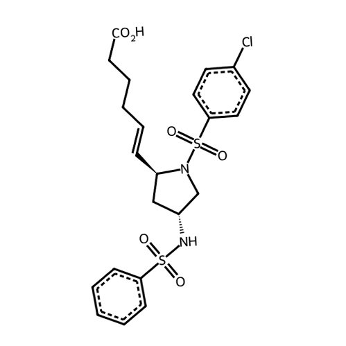 O=C(O)CCC/C=C/[C@@H]1C[C@@H](NS(=O)(=O)c2ccccc2)CN1S(=O)(=O)c1ccc(Cl)cc1